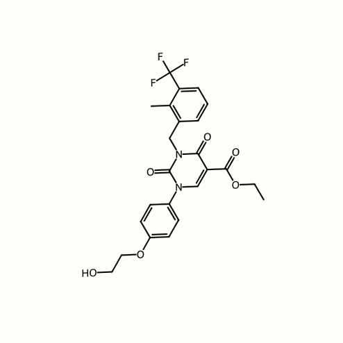 CCOC(=O)c1cn(-c2ccc(OCCO)cc2)c(=O)n(Cc2cccc(C(F)(F)F)c2C)c1=O